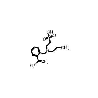 C=C(C)c1ccccc1CN(CCC)CCS(=O)(=O)O